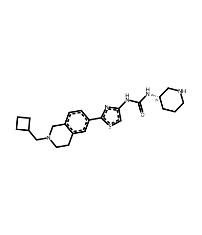 O=C(Nc1csc(-c2ccc3c(c2)CCN(CC2CCC2)C3)n1)N[C@H]1CCCNC1